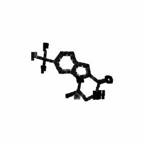 C[C@@H]1CNC(=O)c2cc3ccc(C(F)(F)F)cc3n21